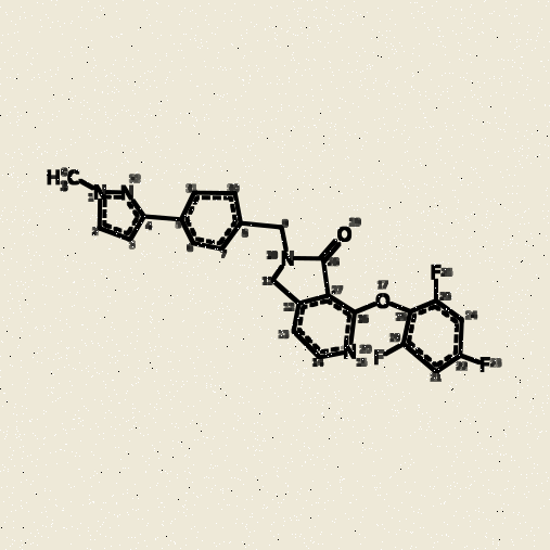 Cn1ccc(-c2ccc(CN3Cc4ccnc(Oc5c(F)cc(F)cc5F)c4C3=O)cc2)n1